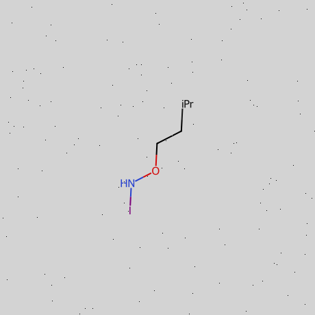 CC(C)CCONI